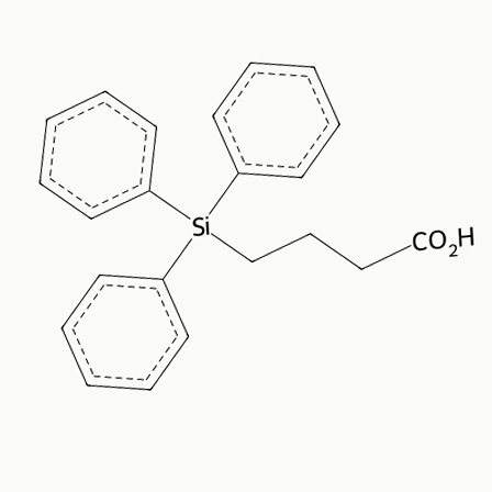 O=C(O)CCC[Si](c1ccccc1)(c1ccccc1)c1ccccc1